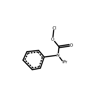 CC(C)N(C(=O)OCl)c1ccccc1